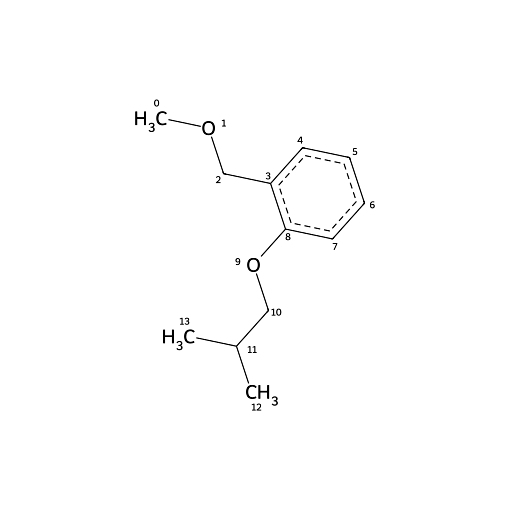 COCc1ccccc1OCC(C)C